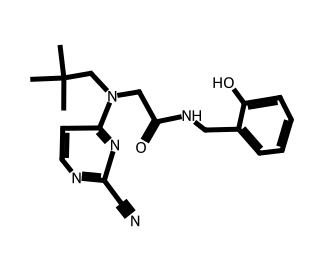 CC(C)(C)CN(CC(=O)NCc1ccccc1O)c1ccnc(C#N)n1